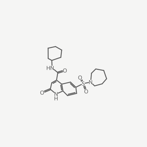 O=C(NC1CCCCC1)c1cc(=O)[nH]c2ccc(S(=O)(=O)N3CCCCCC3)cc12